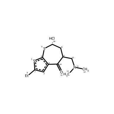 CCc1cc2c(s1)SCCC(CN(C)C)C2=O.Cl